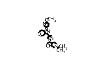 CCC(C1CCN(C(C)C)CC1)n1cc(-c2nn(-c3ccc(OC)nc3)c3c2CCOCC3)cn1